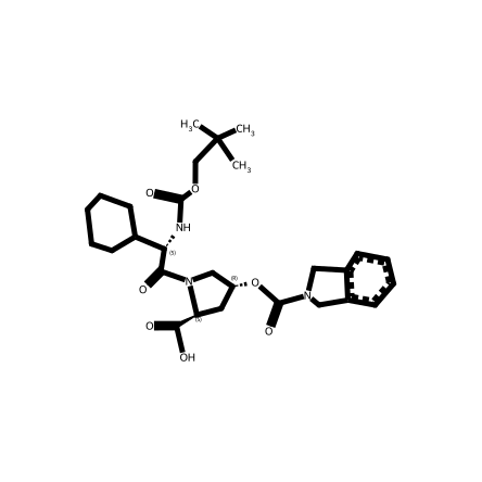 CC(C)(C)COC(=O)N[C@H](C(=O)N1C[C@H](OC(=O)N2Cc3ccccc3C2)C[C@H]1C(=O)O)C1CCCCC1